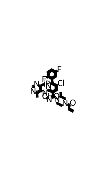 C=CC(=O)N1CCN(/C(=N/C)c2cc(Cl)c(-c3cc(F)ccc3F)nc2N(C=O)c2c(C)ncnc2C(C)C)C(C)C1